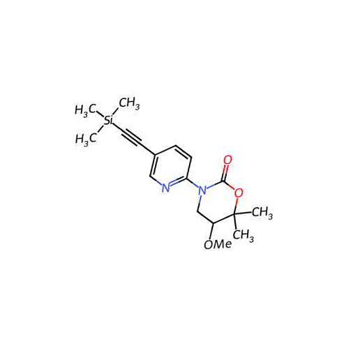 COC1CN(c2ccc(C#C[Si](C)(C)C)cn2)C(=O)OC1(C)C